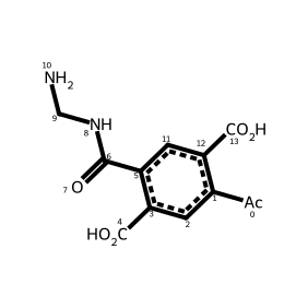 CC(=O)c1cc(C(=O)O)c(C(=O)NCN)cc1C(=O)O